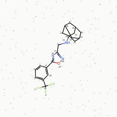 FC(F)(F)c1cccc(-c2nc(CNC34CC5CC(CC(C5)C3)C4)no2)c1